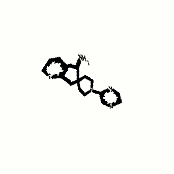 NC1c2cccnc2CC12CCN(c1cnccn1)CC2